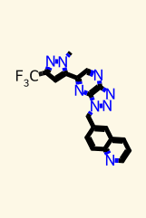 Cn1nc(C(F)(F)F)cc1-c1cnc2nnn(Cc3ccc4ncccc4c3)c2n1